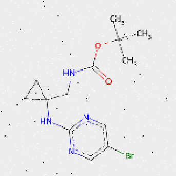 CC(C)(C)OC(=O)NCC1(Nc2ncc(Br)cn2)CC1